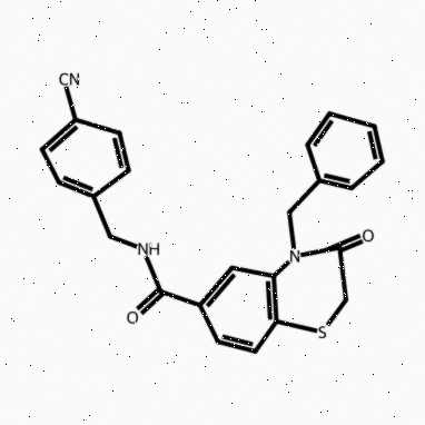 N#Cc1ccc(CNC(=O)c2ccc3c(c2)N(Cc2ccccc2)C(=O)CS3)cc1